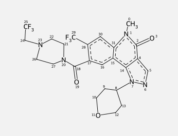 Cn1c(=O)c2cnn(C3CCOCC3)c2c2cc(C(=O)N3CCN(CC(F)(F)F)CC3)c(C(F)(F)F)cc21